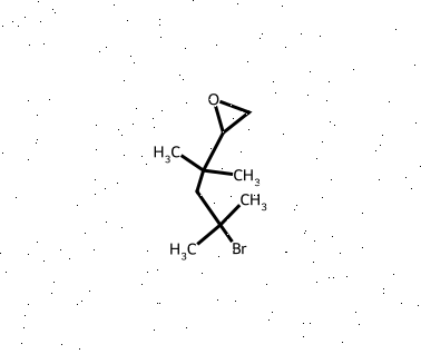 CC(C)(Br)CC(C)(C)C1CO1